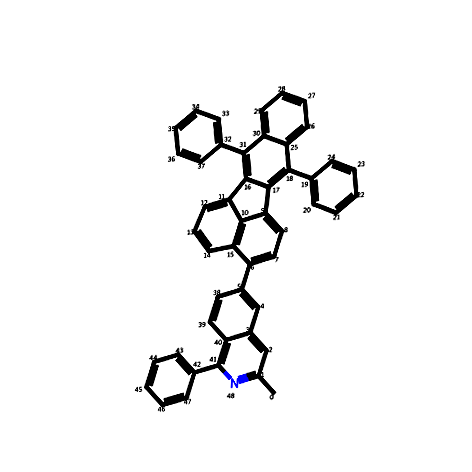 Cc1cc2cc(-c3ccc4c5c(cccc35)-c3c-4c(-c4ccccc4)c4ccccc4c3-c3ccccc3)ccc2c(-c2ccccc2)n1